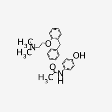 CC(=O)Nc1ccc(O)cc1.CN(C)CCOc1ccccc1Cc1ccccc1